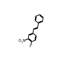 O=[N+]([O-])c1cc(/C=C/c2ccccc2)ccc1F